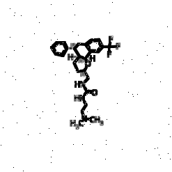 CN(C)CCNC(=O)NC[C@H]1CC[C@@H]2[C@H](O1)c1cc(C(F)(F)F)ccc1C[C@H]2c1ccccc1